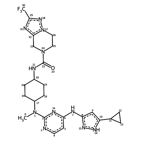 CN(c1nccc(Nc2cc(C3CC3)[nH]n2)n1)C1CCC(NC(=O)N2CCn3nc(C(F)(F)F)nc3C2)CC1